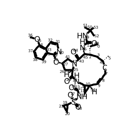 CC[C@@H]1C[C@H](C)CCC=C[C@@H]2C[C@@]2(C(=O)NS(=O)(=O)C2CC2)NC(=O)[C@@H]2C[C@@H](Oc3nccc4c(OC)cccc34)CN2C(=O)[C@H]1NC(=O)NC(C)(C)C